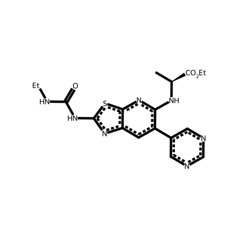 CCNC(=O)Nc1nc2cc(-c3cncnc3)c(N[C@@H](C)C(=O)OCC)nc2s1